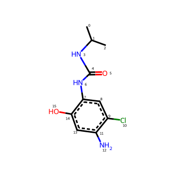 CC(C)NC(=O)Nc1cc(Cl)c(N)cc1O